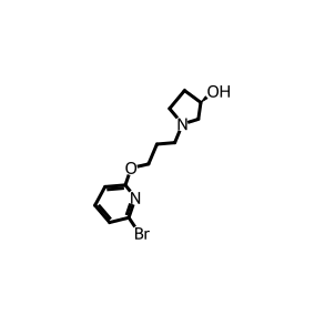 O[C@@H]1CCN(CCCOc2cccc(Br)n2)C1